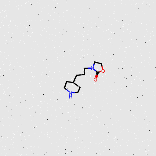 O=C1OCCN1CCCC1CCNCC1